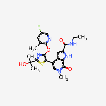 CCNC(=O)c1cc2c(-c3sc(C(C)(C)O)nc3Oc3ncc(F)cc3C)cn(C)c(=O)c2[nH]1